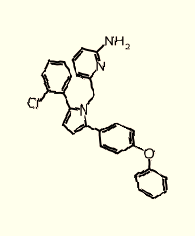 Nc1cccc(Cn2c(-c3ccc(Oc4ccccc4)cc3)ccc2-c2ccccc2Cl)n1